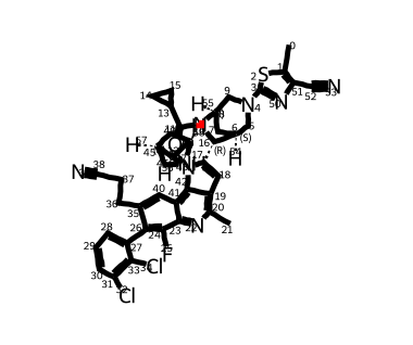 Cc1sc(N2C[C@@H]3C[C@H](C2)N(C(=O)C2CC2)[C@H]3c2cc3c(C)nc4c(F)c(-c5cccc(Cl)c5Cl)c(CCC#N)cc4c3n2[C@H]2[C@H]3CN[C@@H]2C3)nc1C#N